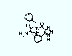 NC(=O)C(=O)[C@H](Cc1ccccc1)NC(=O)c1nn[nH]c1-c1ccccc1